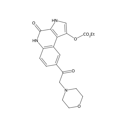 CCOC(=O)Oc1c[nH]c2c(=O)[nH]c3ccc(C(=O)CN4CCOCC4)cc3c12